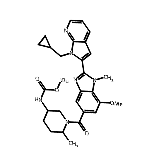 COc1cc(C(=O)N2CC(NC(=O)OC(C)(C)C)CCC2C)cc2nc(-c3cc4cccnc4n3CC3CC3)n(C)c12